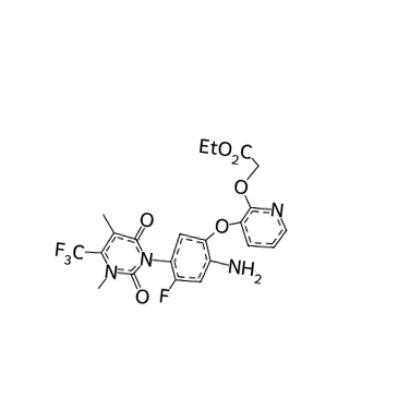 CCOC(=O)COc1ncccc1Oc1cc(-n2c(=O)c(C)c(C(F)(F)F)n(C)c2=O)c(F)cc1N